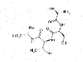 CC[C@H](C)[C@H](N)C(=O)N[C@@H](CO)C(=O)N[C@H](C(=O)N[C@H](C(=O)O)[C@@H](C)CC)[C@@H](C)O